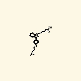 CN(C)CCCOc1ccc(-c2nn(CCCCCC(=O)O)c3ncccc23)cc1